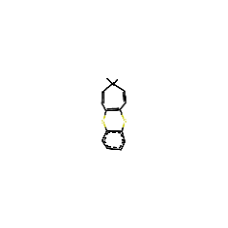 CC1(C)C=CC2=C(C=C1)Sc1ccccc1S2